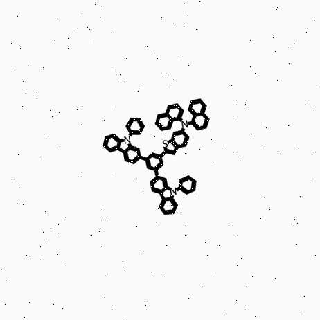 c1ccc(-n2c3ccccc3c3ccc(-c4cc(-c5ccc6c7ccccc7n(-c7ccccc7)c6c5)cc(-c5cc6ccc(N(c7cccc8ccccc78)c7cccc8ccccc78)cc6s5)c4)cc32)cc1